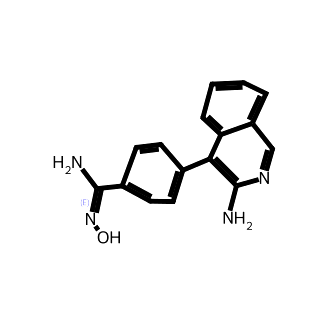 N/C(=N/O)c1ccc(-c2c(N)ncc3ccccc23)cc1